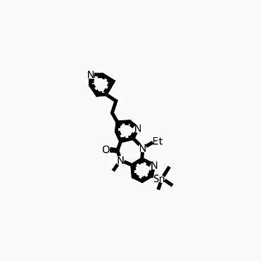 CCN1c2ncc(CCc3ccncc3)cc2C(=O)N(C)c2cc[c]([Sn]([CH3])([CH3])[CH3])nc21